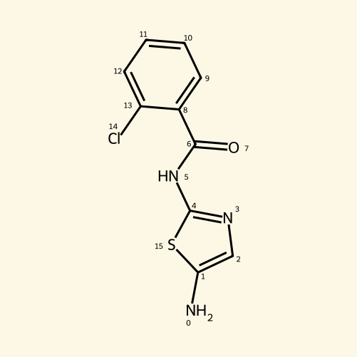 Nc1cnc(NC(=O)c2ccccc2Cl)s1